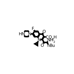 CCCCC(N)C(=O)c1c(C(=O)O)c(=O)c2cc(F)c(N3CCNCC3)cc2n1C1CC1